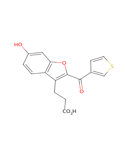 O=C(O)CCc1c(C(=O)c2ccsc2)oc2cc(O)ccc12